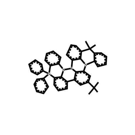 CC(C)(C)c1cc2c3c(c1)N1c4ccccc4C(C)(C)c4cccc(c41)B3N1c3ccccc3[Si](c3ccccc3)(c3ccccc3)c3cccc-2c31